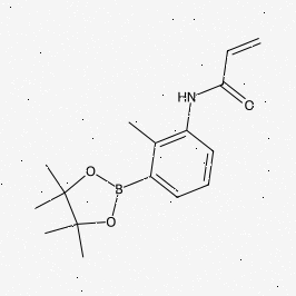 C=CC(=O)Nc1cccc(B2OC(C)(C)C(C)(C)O2)c1C